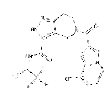 CC(NC(=O)c1[nH]nc2c1CN(C(=O)c1cc3c(Cl)cccn3c1)CC2)C(F)(F)F